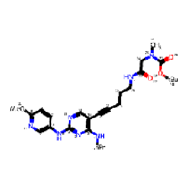 CCCNc1nc(Nc2ccc(OC)nc2)ncc1C#CCCCNC(=O)CN(C)C(=O)OC(C)(C)C